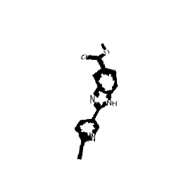 COC(=O)c1ccc2[nH]c(-c3ccc(C)nc3)nc2c1